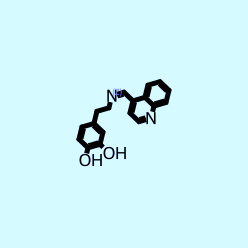 Oc1ccc(CC/N=C\c2ccnc3ccccc23)cc1O